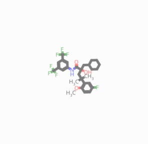 COc1ccc(F)cc1C(C)(C)CC(O)(CC1CCCCC1)C(=O)Nc1cc(C(F)(F)F)cc(C(F)(F)F)c1